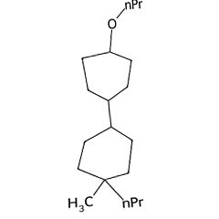 CCCOC1CCC(C2CCC(C)(CCC)CC2)CC1